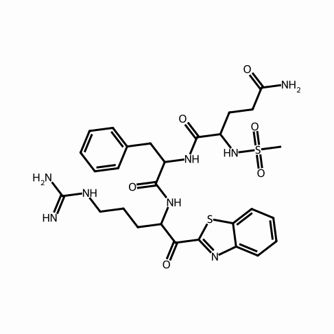 CS(=O)(=O)NC(CCC(N)=O)C(=O)NC(Cc1ccccc1)C(=O)NC(CCCNC(=N)N)C(=O)c1nc2ccccc2s1